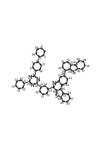 c1ccc(-c2ccc(-c3nc(-c4ccccc4)nc(-c4cccc(-c5nc6cc(-c7cccc8c7sc7ccccc78)ccc6c6c5sc5ccccc56)c4)n3)cc2)cc1